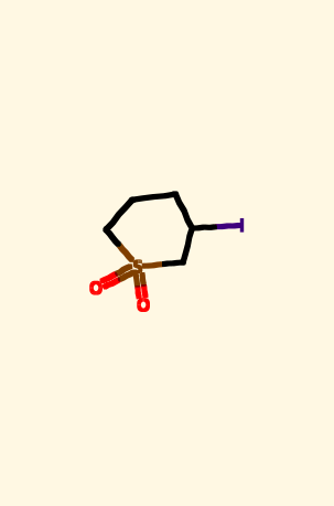 O=S1(=O)CCCC(I)C1